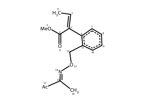 CC=C(C(=O)OC)c1ccccc1CON=C(C)C(C)=O